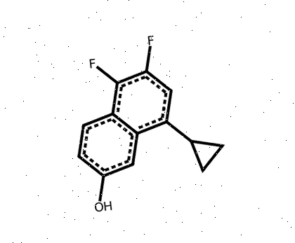 Oc1ccc2c(F)c(F)cc(C3CC3)c2c1